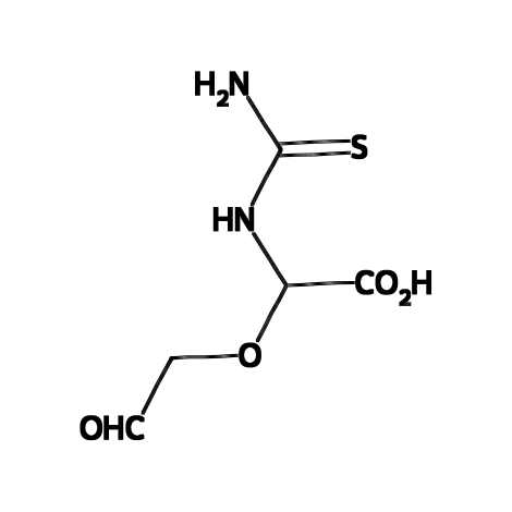 NC(=S)NC(OCC=O)C(=O)O